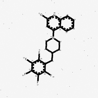 [O]c1cc(N2CCC(Cc3c(F)c(F)c(F)c(F)c3F)CC2)c2ccccc2n1